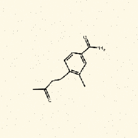 CC(=O)CCc1ccc(C(N)=O)cc1C